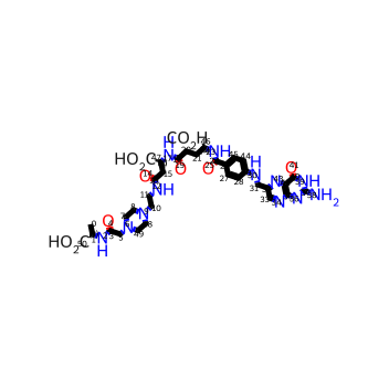 C[C@H](NC(=O)CN1CCN(CCNC(=O)C[C@H](NC(=O)CC[C@H](NC(=O)c2ccc(NCc3cnc4nc(N)[nH]c(=O)c4n3)cc2)C(=O)O)C(=O)O)CC1)C(=O)O